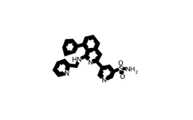 NS(=O)(=O)c1cncc(-c2cc3cccc(-c4ccccc4)c3c(NCc3ccccn3)n2)c1